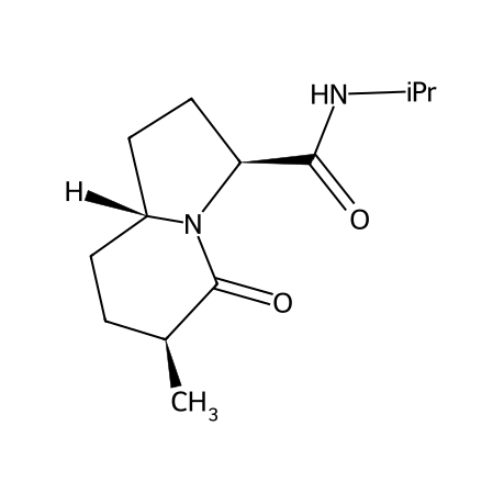 CC(C)NC(=O)[C@@H]1CC[C@H]2CC[C@H](C)C(=O)N21